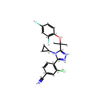 CC(C)(Oc1ccc(F)cc1F)c1nnc(-c2ccc(C#N)cc2Cl)n1C1CC1